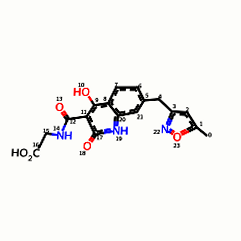 Cc1cc(Cc2ccc3c(O)c(C(=O)NCC(=O)O)c(=O)[nH]c3c2)no1